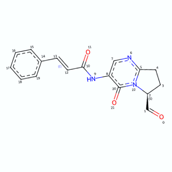 O=C[C@@H]1CCc2ncc(NC(=O)/C=C/c3ccccc3)c(=O)n21